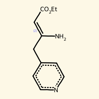 CCOC(=O)/C=C(\N)Cc1ccncc1